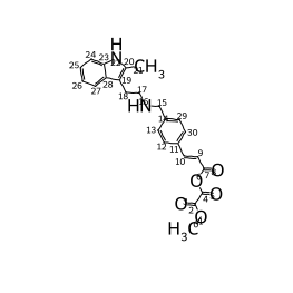 COC(=O)C(=O)OC(=O)/C=C/c1ccc(CNCCc2c(C)[nH]c3ccccc23)cc1